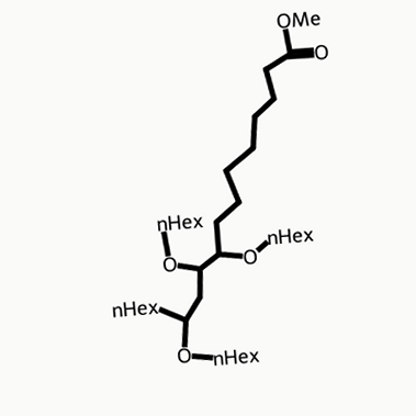 CCCCCCOC(CCCCCC)CC(OCCCCCC)C(CCCCCCCC(=O)OC)OCCCCCC